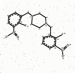 O=[N+]([O-])c1cccc(CN2CCN(Cc3cccc([N+](=O)[O-])c3F)CC2)c1F